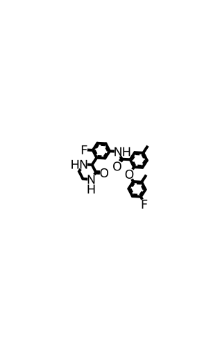 Cc1ccc(Oc2ccc(F)cc2C)c(C(=O)Nc2ccc(F)c(C3NCCNC3=O)c2)c1